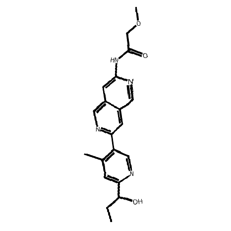 CCC(O)c1cc(C)c(-c2cc3cnc(NC(=O)COC)cc3cn2)cn1